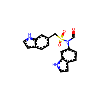 O=[C]N(c1ccc2cc[nH]c2c1)S(=O)(=O)Cc1ccc2cc[nH]c2c1